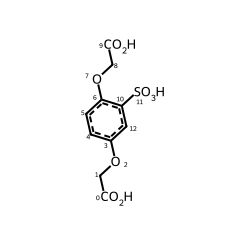 O=C(O)COc1ccc(OCC(=O)O)c(S(=O)(=O)O)c1